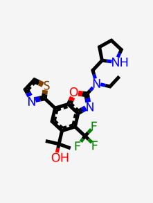 CCN(CC1CCCN1)c1nc2c(C(F)(F)F)c(C(C)(C)O)cc(-c3nccs3)c2o1